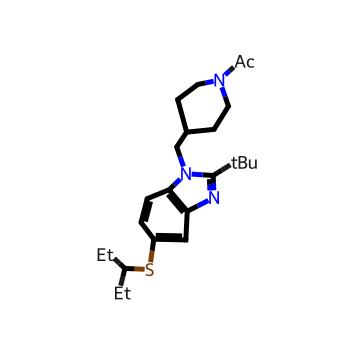 CCC(CC)Sc1ccc2c(c1)nc(C(C)(C)C)n2CC1CCN(C(C)=O)CC1